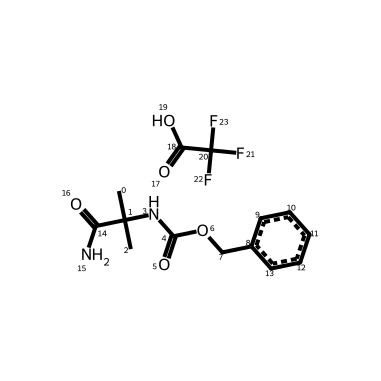 CC(C)(NC(=O)OCc1ccccc1)C(N)=O.O=C(O)C(F)(F)F